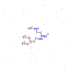 CCCNCC/C(=N\C)NCCC(OCC)OCC